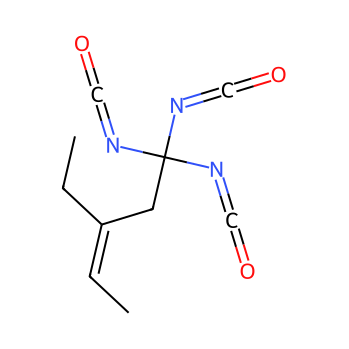 CC=C(CC)CC(N=C=O)(N=C=O)N=C=O